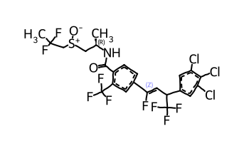 C[C@H](C[S+]([O-])CC(C)(F)F)NC(=O)c1ccc(/C(F)=C/C(c2cc(Cl)c(Cl)c(Cl)c2)C(F)(F)F)cc1C(F)(F)F